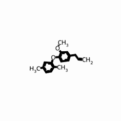 C=CCc1ccc(Oc2cc(C)ccc2C)c(OC)c1